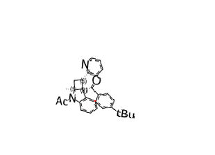 CC(=O)N1c2ccccc2[C@]2(C(=O)c3ccc(C(C)(C)C)cc3)[C@@H](c3ccccn3)C[C@]12C